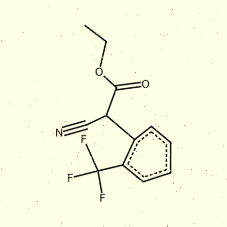 CCOC(=O)C(C#N)c1ccccc1C(F)(F)F